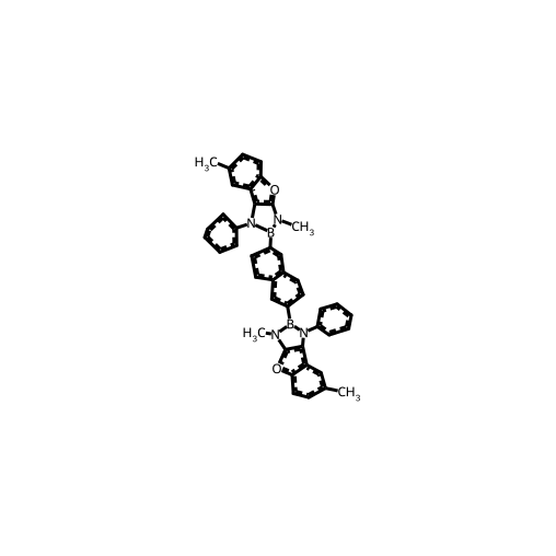 Cc1ccc2oc3c(c2c1)N(c1ccccc1)B(c1ccc2cc(B4N(C)c5oc6ccc(C)cc6c5N4c4ccccc4)ccc2c1)N3C